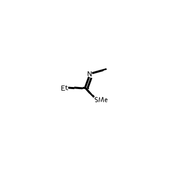 CC/C(=N/C)SC